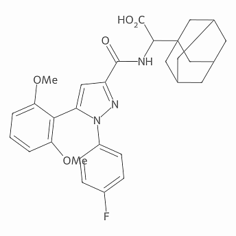 COc1cccc(OC)c1-c1cc(C(=O)NC(C(=O)O)C23CC4CC(CC(C4)C2)C3)nn1-c1ccc(F)cc1